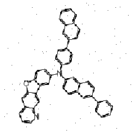 c1ccc(-c2ccc3cc(N(c4ccc(-c5ccc6ccccc6c5)cc4)c4ccc5oc6cc7cccnc7cc6c5c4)ccc3c2)cc1